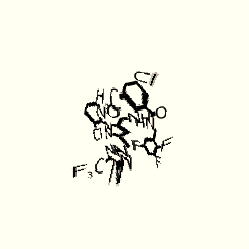 Cc1cc(Cl)cc(C(=O)NCc2cc(F)cc(F)c2F)c1NC(=O)c1cc(Cn2nnc(C(F)(F)F)n2)nn1-c1ncccc1Cl